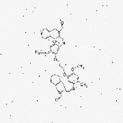 COc1cc(C)c(/N=C\C2CC3=C(C=CCC3)CN2C=O)cc1OCCCOc1cc(/N=C\C2Cc3ccccc3CN2C=O)c(C)cc1OC